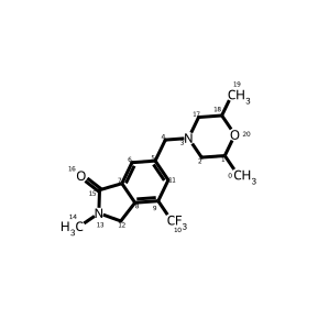 CC1CN(Cc2cc3c(c(C(F)(F)F)c2)CN(C)C3=O)CC(C)O1